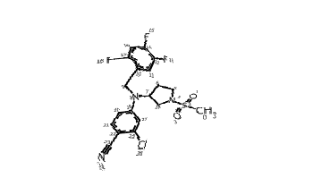 CS(=O)(=O)N1CC[C@H](N(Cc2cc(F)c(F)cc2F)c2ccc(C#N)c(Cl)c2)C1